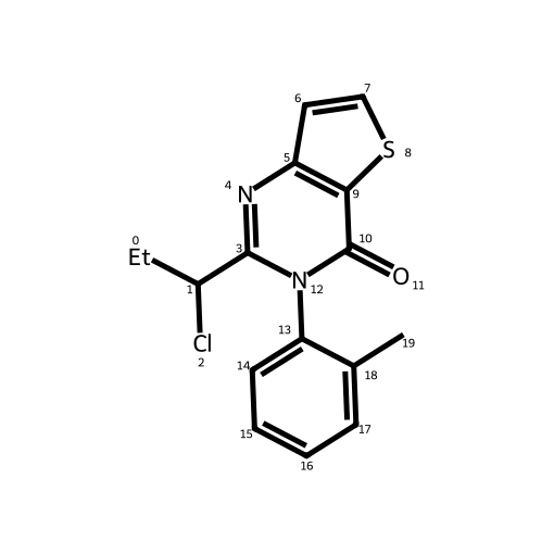 CCC(Cl)c1nc2ccsc2c(=O)n1-c1ccccc1C